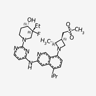 CC[C@@]1(F)CN(c2nccc(Nc3cc4c(C(C)C)ccc(N5C[C@H](CS(C)(=O)=O)[C@H]5C)c4cn3)n2)CC[C@@H]1O